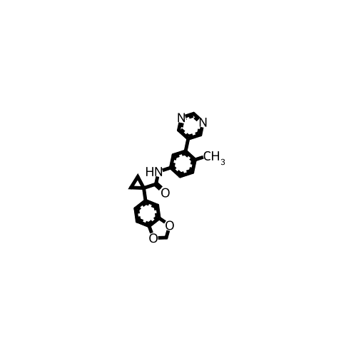 Cc1ccc(NC(=O)C2(c3ccc4c(c3)OCO4)CC2)cc1-c1cncnc1